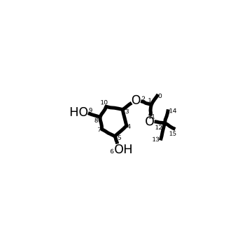 CC(OC1CC(O)CC(O)C1)OC(C)(C)C